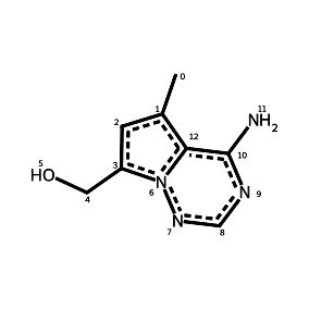 Cc1cc(CO)n2ncnc(N)c12